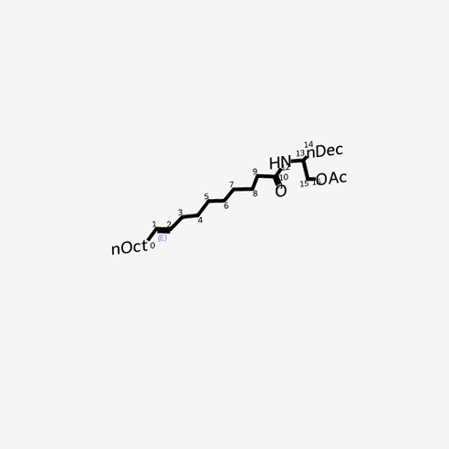 CCCCCCCC/C=C/CCCCCCCC(=O)NC(CCCCCCCCCC)COC(C)=O